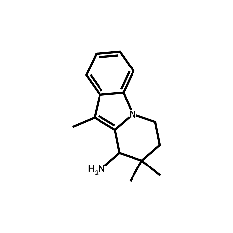 Cc1c2n(c3ccccc13)CCC(C)(C)C2N